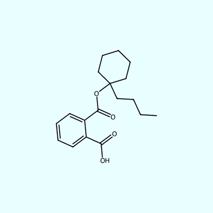 CCCCC1(OC(=O)c2ccccc2C(=O)O)CCCCC1